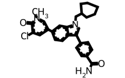 Cn1cc(-c2ccc3c(-c4ccc(C(N)=O)cc4)cn(CC4CCCCC4)c3c2)cc(Cl)c1=O